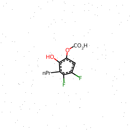 CCCc1c(O)c(OC(=O)O)cc(F)c1F